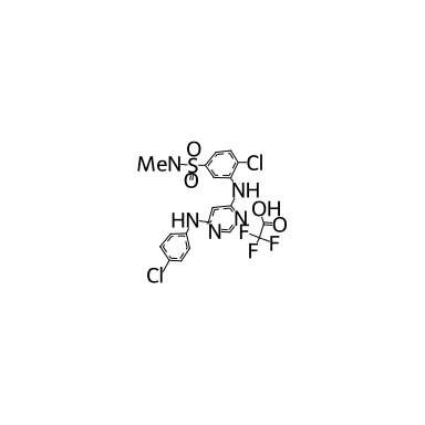 CNS(=O)(=O)c1ccc(Cl)c(Nc2cc(Nc3ccc(Cl)cc3)ncn2)c1.O=C(O)C(F)(F)F